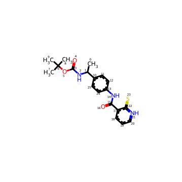 CC(NC(=O)OC(C)(C)C)c1ccc(NC(=O)c2ccc[nH]c2=S)cc1